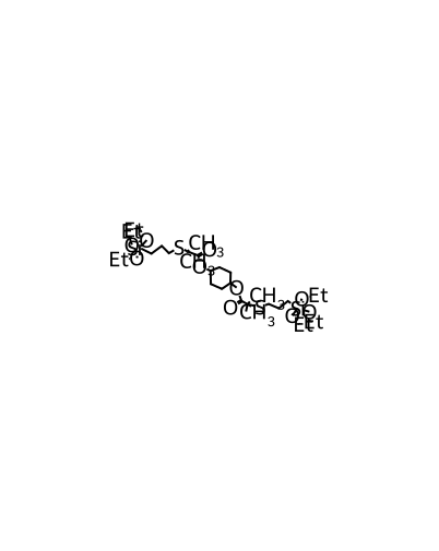 CCO[Si](CCCSC(C)(C)C(=O)OC1CCC(OC(=O)C(C)(C)SCCC[Si](OCC)(OCC)OCC)CC1)(OCC)OCC